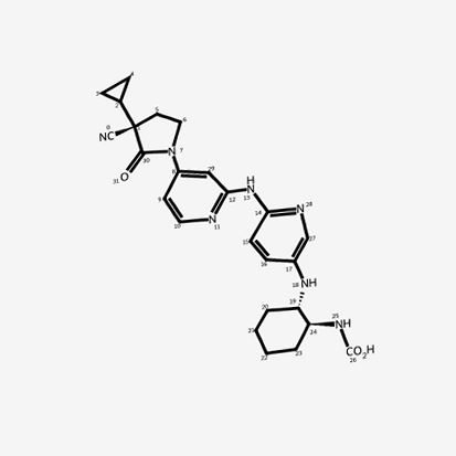 N#C[C@@]1(C2CC2)CCN(c2ccnc(Nc3ccc(N[C@H]4CCCC[C@@H]4NC(=O)O)cn3)c2)C1=O